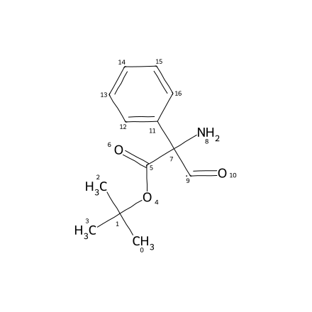 CC(C)(C)OC(=O)C(N)([C]=O)c1ccccc1